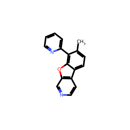 Cc1ccc2c(oc3cnccc32)c1-c1ccccn1